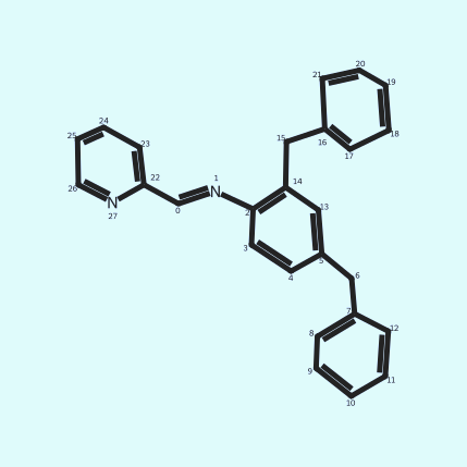 C(=Nc1ccc(Cc2ccccc2)cc1Cc1ccccc1)c1ccccn1